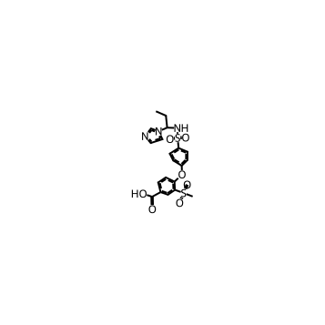 CCC(NS(=O)(=O)c1ccc(Oc2ccc(C(=O)O)cc2S(C)(=O)=O)cc1)n1ccnc1